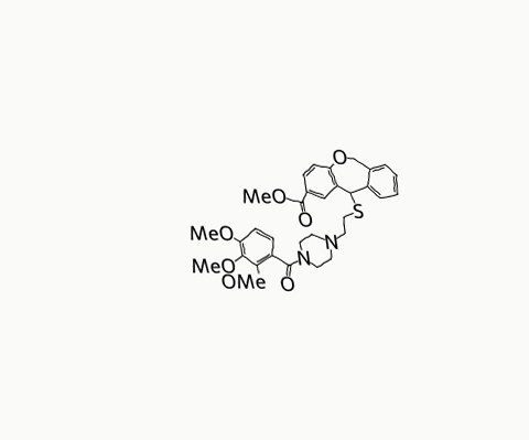 COC(=O)c1ccc2c(c1)C(SCCN1CCN(C(=O)c3ccc(OC)c(OC)c3OC)CC1)c1ccccc1CO2